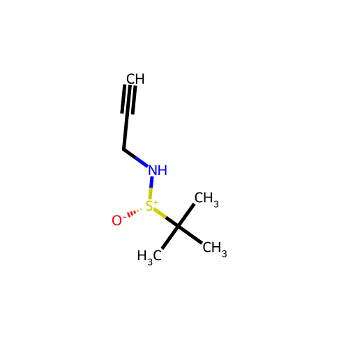 C#CCN[S@@+]([O-])C(C)(C)C